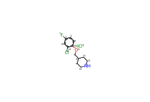 Cl.Fc1ccc(OCC2CCNCC2)c(Cl)c1